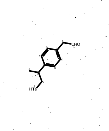 CC(C[TeH])c1ccc(CC=O)cc1